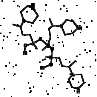 CCO[Si](C)(CCC(C)N1CCNCC1)O[Si](C)(CCC(C)N1CCNCC1)O[Si](C)(CCC(C)N1CCNCC1)OCC